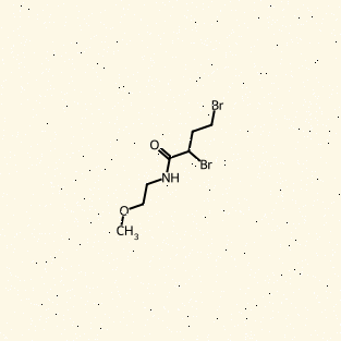 COCCNC(=O)C(Br)CCBr